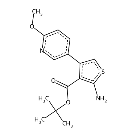 COc1ccc(-c2csc(N)c2C(=O)OC(C)(C)C)cn1